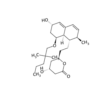 CCCC(C)(C)CO[C@H]1C[C@H](O)C=C2C=C[C@@H](C)[C@H](CC[C@@H]3C[C@@H](O)CC(=O)O3)[C@H]21